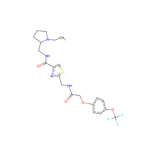 CCN1CCCC1CNC(=O)c1csc(CNC(=O)COc2ccc(OC(F)(F)F)cc2)n1